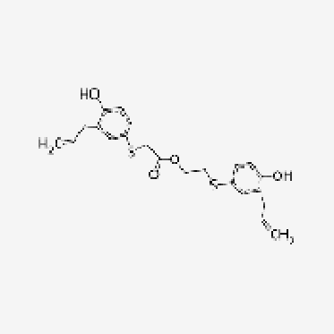 C=CCc1cc(SCCOC(=O)CSc2ccc(O)c(CC=C)c2)ccc1O